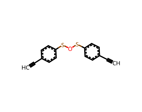 C#Cc1ccc(SOSc2ccc(C#C)cc2)cc1